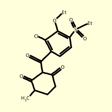 CCOc1c(S(=O)(=O)CC)ccc(C(=O)C2C(=O)CCC(C)C2=O)c1Cl